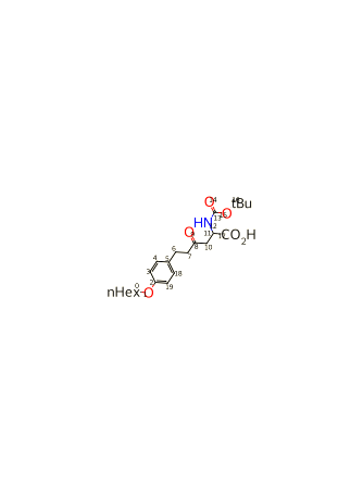 CCCCCCOc1ccc(CCC(=O)CC(NC(=O)OC(C)(C)C)C(=O)O)cc1